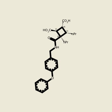 CCC[C@H]1[C@@H](C(=O)O)[C@H](C(=O)O)[C@]1(CCC)C(=O)NCc1ccc(Oc2ccccc2)cc1